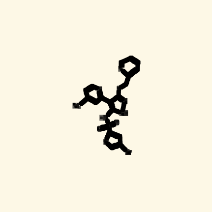 N#Cc1ccnc(-c2c(SCc3ccccn3)n[nH]c2NS(=O)(=O)c2cc(Br)cs2)c1